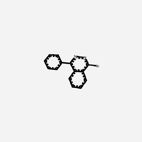 Brc1nnc(-c2ccccc2)c2ccccc12